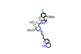 COc1cc(F)cc(F)c1C1(C(=O)N[C@@H](CCN(CCCCc2ccc3c(n2)NCCC3)C[C@@H](CF)OC)C(=O)O)CC1